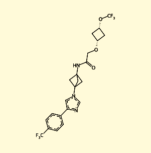 O=C(CO[C@H]1C[C@@H](OC(F)(F)F)C1)NC12CC(n3cnc(-c4ccc(C(F)(F)F)cc4)c3)(C1)C2